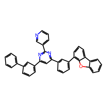 c1ccc(-c2cccc(-c3cc(-c4cccc(-c5cccc6c5oc5ccccc56)c4)nc(-c4cccnc4)n3)c2)cc1